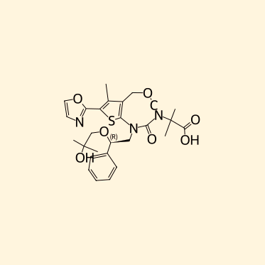 Cc1c(-c2ncco2)sc2c1COCN(C(C)(C)C(=O)O)C(=O)N2C[C@H](OCC(C)(C)O)c1ccccc1